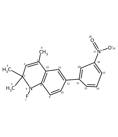 CC1=CC(C)(C)N(F)c2ccc(-c3cccc([N+](=O)[O-])c3)cc21